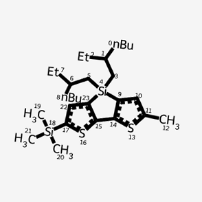 CCCCC(CC)C[Si]1(CC(CC)CCCC)c2cc(C)sc2-c2sc([Si](C)(C)C)cc21